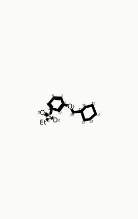 CCS(=O)(=O)c1cccc(OCC2CCCCC2)c1